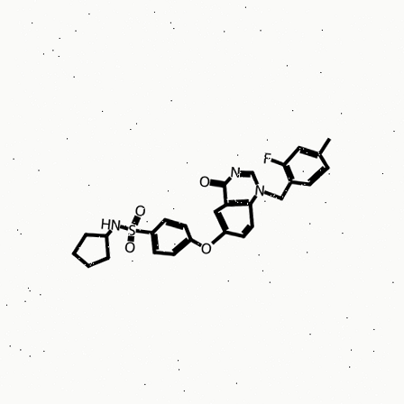 Cc1ccc(Cn2cnc(=O)c3cc(Oc4ccc(S(=O)(=O)NC5CCCC5)cc4)ccc32)c(F)c1